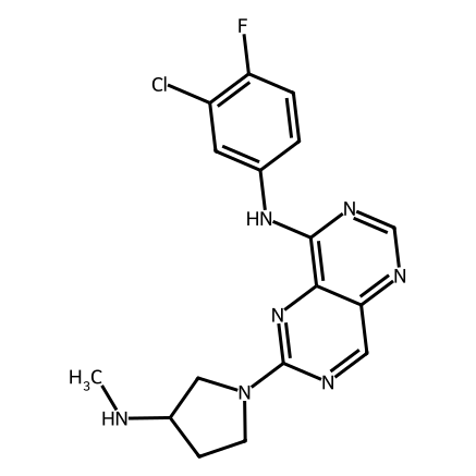 CNC1CCN(c2ncc3ncnc(Nc4ccc(F)c(Cl)c4)c3n2)C1